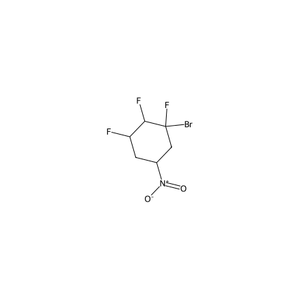 O=[N+]([O-])C1CC(F)C(F)C(F)(Br)C1